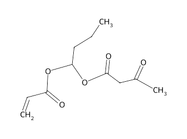 C=CC(=O)OC(CCC)OC(=O)CC(C)=O